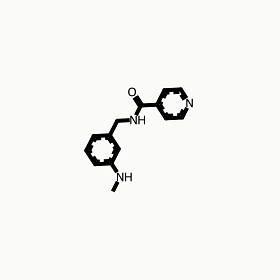 CNc1cccc(CNC(=O)c2ccncc2)c1